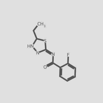 CCC1N[N]C(=NC(=O)c2ccccc2F)S1